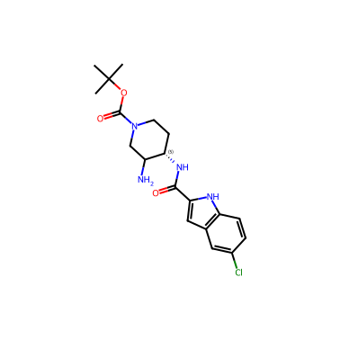 CC(C)(C)OC(=O)N1CC[C@H](NC(=O)c2cc3cc(Cl)ccc3[nH]2)C(N)C1